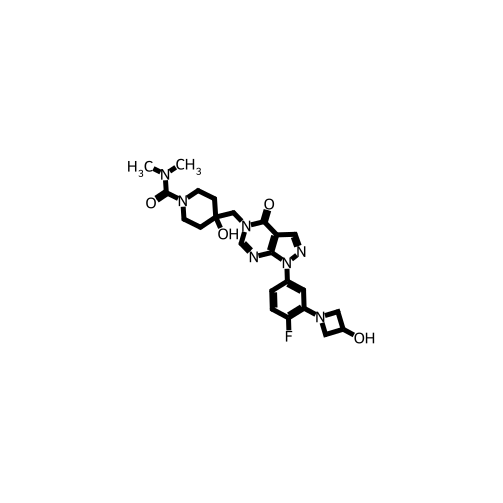 CN(C)C(=O)N1CCC(O)(Cn2cnc3c(cnn3-c3ccc(F)c(N4CC(O)C4)c3)c2=O)CC1